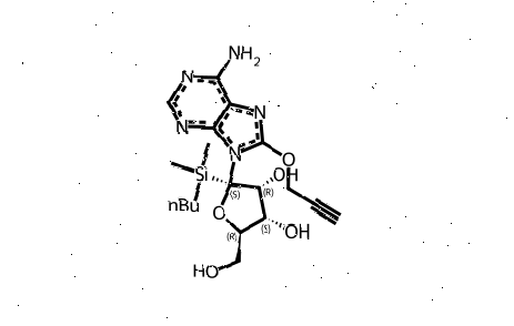 C#CCOc1nc2c(N)ncnc2n1[C@]1([Si](C)(C)CCCC)O[C@H](CO)[C@@H](O)[C@H]1O